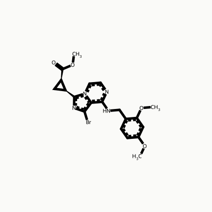 COC(=O)[C@@H]1C[C@@H]1c1nc(Br)c2c(NCc3ccc(OC)cc3OC)nccn12